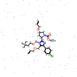 C=CCOCc1c(-c2ccc(Br)cc2)nc(C2CC(OCC=C)CN2C(=O)OC(C)(C)C)n1COCC[Si](C)(C)C